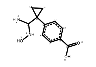 NC(NO)C1(c2ccc(C(=O)O)cc2)CC1